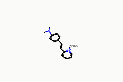 CCCCCCCCC[n+]1ccccc1/C=C/c1ccc(N(C)C)cc1